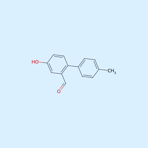 Cc1ccc(-c2ccc(O)cc2C=O)cc1